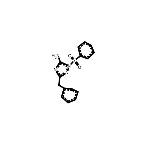 Nc1nc(Cc2c[c]ccc2)nn1S(=O)(=O)c1ccccc1